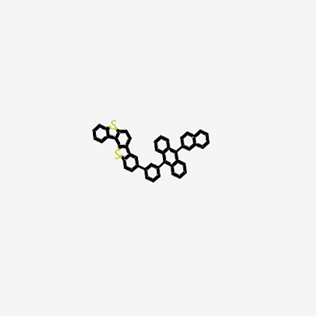 c1cc(-c2ccc3sc4c(ccc5sc6ccccc6c54)c3c2)cc(-c2c3ccccc3c(-c3ccc4ccccc4c3)c3ccccc23)c1